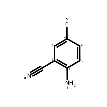 N#Cc1cc(F)ccc1N